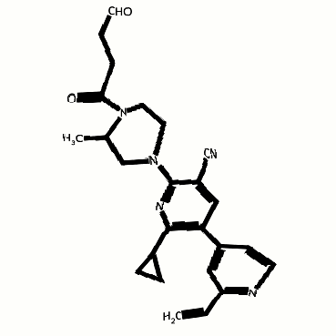 C=Cc1cc(-c2cc(C#N)c(N3CCN(C(=O)CCC=O)C(C)C3)nc2C2CC2)ccn1